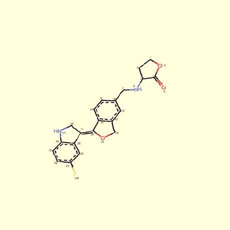 O=C1OCCC1NCc1ccc2c(c1)COC2=C1CNc2ccc(F)cc21